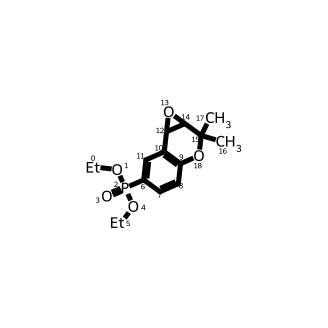 CCOP(=O)(OCC)c1ccc2c(c1)C1OC1C(C)(C)O2